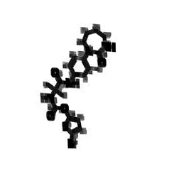 Cc1cc(NC(=O)C(C)(C)NC(=O)Oc2ccc(Br)s2)ccc1N1CCCCNC1=O